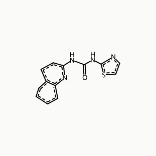 O=C(Nc1ccc2ccccc2n1)Nc1nccs1